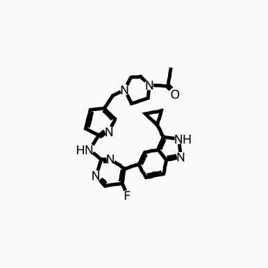 CC(=O)N1CCN(Cc2ccc(Nc3ncc(F)c(-c4ccc5n[nH]c(C6CC6)c5c4)n3)nc2)CC1